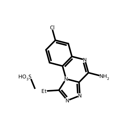 CCc1nnc2c(N)nc3cc(Cl)ccc3n12.CS(=O)(=O)O